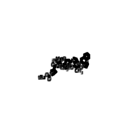 CC[C@H](C)C([C@@H](CC(=O)N1CCC[C@H]1C(OC)[C@@H](C)C(=O)NC(Cc1ccccc1)c1nccs1)OC)N(C)C(=O)[C@@H](NC(=O)C1CCN(C(=O)OC(C)(C)C)C1)C(C)C